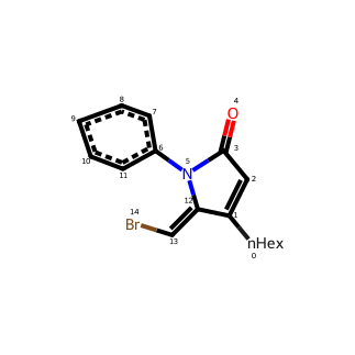 CCCCCCC1=CC(=O)N(c2ccccc2)/C1=C\Br